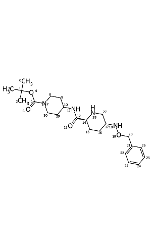 CC(C)(C)OC(=O)N1CCC(NC(=O)[C@@H]2CCC(NOCc3ccccc3)CN2)CC1